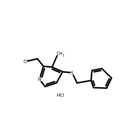 Cc1c(SCc2ccccc2)ccnc1CCl.Cl